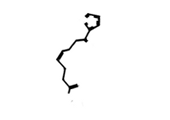 COC(=O)CC/C=C\CCC(=O)c1ccco1